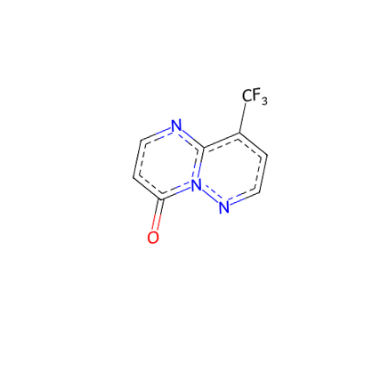 O=c1ccnc2c(C(F)(F)F)ccnn12